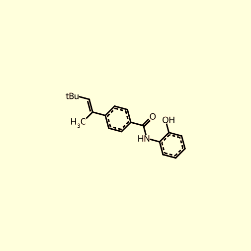 C/C(=C\C(C)(C)C)c1ccc(C(=O)Nc2ccccc2O)cc1